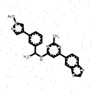 CC(=O)On1cc(-c2cccc(C(C)Nc3cc(-c4ccc5ncsc5c4)nc(C)n3)c2)cn1